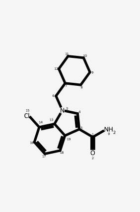 NC(=O)c1cn(CC2CCCCC2)c2c(Cl)cccc12